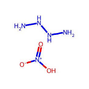 NNNN.O=[N+]([O-])O